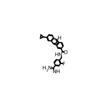 N=C(N)c1ccc(CNC(=O)c2ccc3c(c2)C2C[C@H]3c3ccc(C4CC4)cc32)c(F)c1